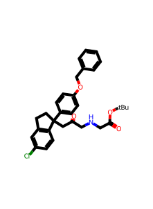 CC(C)(C)OC(=O)CNCC(=O)CC1(c2ccc(OCc3ccccc3)cc2)CCc2cc(Cl)ccc21